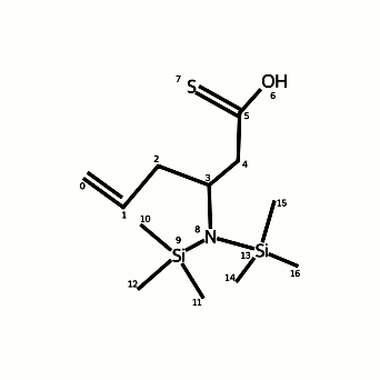 C=CCC(CC(O)=S)N([Si](C)(C)C)[Si](C)(C)C